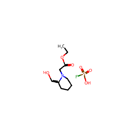 CCOC(=O)CN1CCCCC1=CO.O=S(=O)(O)F